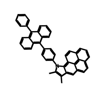 Cc1c(C)n(-c2ccc(-c3c4ccccc4c(-c4ccccc4)c4ccccc34)cc2)c2c1cc1ccc3cccc4ccc2c1c34